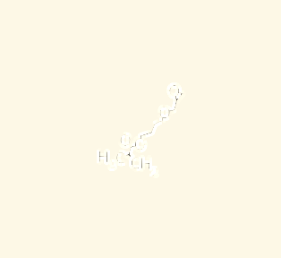 C=C(C)C(=O)OCCCCOCC1CO1